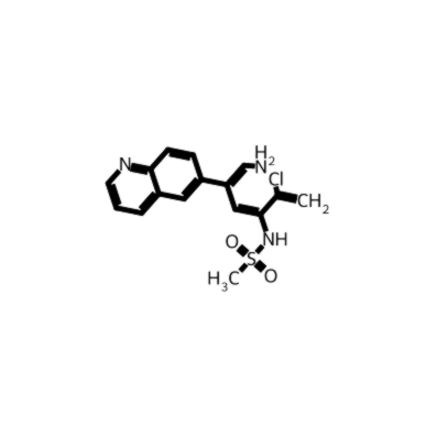 C=C(Cl)/C(=C\C(=C/N)c1ccc2ncccc2c1)NS(C)(=O)=O